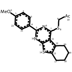 COc1ccc(-c2nc(SCC(C)=O)c3c4c(sc3n2)CCCC4)cc1